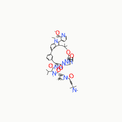 CCn1c(-c2cccnc2[C@H](C)OC)c2c3cc(ccc31)-c1cccc(c1)C[C@H](NC(=O)C(C(C)C)N(C)C(=O)[C@@H]1CN(C(=O)C#CC(C)(C)N(C)C)C[C@@H]1C)C(=O)N1CCC[C@H](N1)C(=O)OCC(C)(C)C2